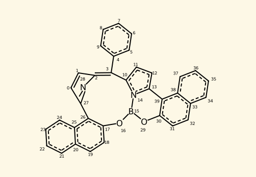 C1=C/C2=C(\c3ccccc3)c3ccc4n3B(Oc3ccc5ccccc5c3C1=N2)Oc1ccc2ccccc2c1-4